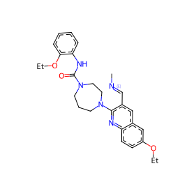 CCOc1ccc2nc(N3CCCN(C(=O)Nc4ccccc4OCC)CC3)c(/C=N/C)cc2c1